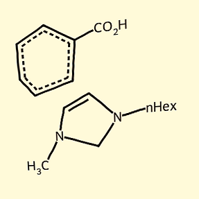 CCCCCCN1C=CN(C)C1.O=C(O)c1ccccc1